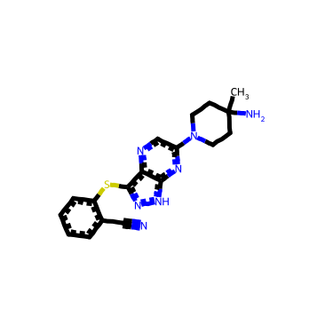 CC1(N)CCN(c2cnc3c(Sc4ccccc4C#N)n[nH]c3n2)CC1